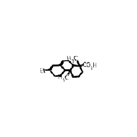 CCC1=CC2=CCC3C(C)(C(=O)O)CCCC3(C)C2CC1